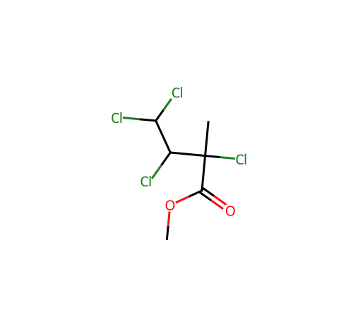 COC(=O)C(C)(Cl)C(Cl)C(Cl)Cl